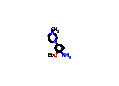 CCOc1cc(N2CCCN(C)CC2)ccc1N